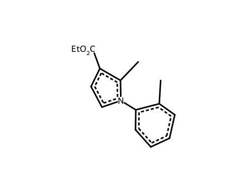 CCOC(=O)c1ccn(-c2ccccc2C)c1C